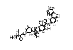 O=C(/C=C/c1cccc(S(=O)(=O)Nc2ccc(C(=O)Nc3ccc(Cl)c(-c4ccccn4)c3)c(Cl)c2)c1)NO